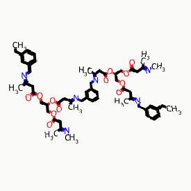 CCc1cccc(C/N=C(/C)CC(=O)OCC(COC(=O)C/C(C)=N/C)OC(=O)C/C(C)=N/Cc2cccc(C/N=C(\C)CC(=O)OC(COC(=O)C/C(C)=N/C)COC(=O)C/C(C)=N/Cc3cccc(CC)c3)c2)c1